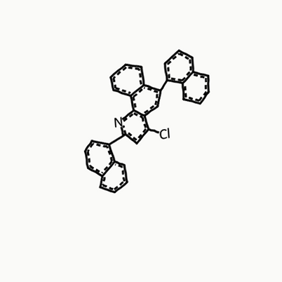 Clc1cc(-c2cccc3ccccc23)nc2c1cc(-c1cccc3ccccc13)c1ccccc12